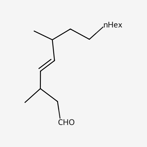 CCCCCCCCC(C)C=CC(C)CC=O